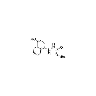 CC(C)(C)OC(=O)NNc1ccc(O)c2ccccc12